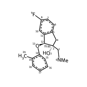 CNC[C@]1(O)Cc2ccc(F)cc2[C@@H]1Oc1ccccc1C